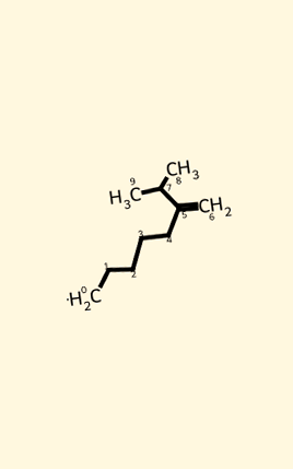 [CH2]CCCCC(=C)C(C)C